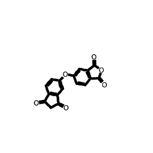 O=C1CC(=O)c2cc(Oc3ccc4c(c3)C(=O)OC4=O)ccc21